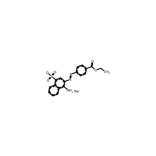 CCOC(=O)c1ccc(N=Nc2cc(S(=O)(=O)[O-])c3ccccc3c2N)cc1.[Na+]